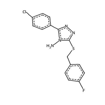 Nn1c(SCc2ccc(F)cc2)nnc1-c1ccc(Cl)cc1